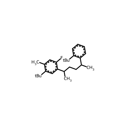 Cc1cc(F)c(C(C)CCC(C)c2ccccc2C(C)(C)C)cc1C(C)(C)C